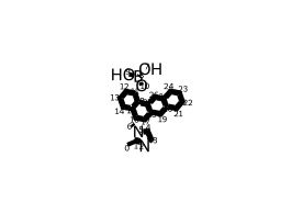 Cc1nccn1C.OB(O)Oc1cccc2ccc3cc4ccccc4cc3c12